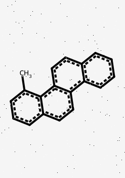 Cc1cccc2ccc3c4ccccc4ccc3c12